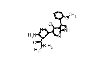 COc1ccccc1-c1c[nH]c2ncc(-c3cnc(N)c(C(=O)N(C)C)c3)c(Cl)c12